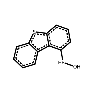 OBc1cccc2sc3ccccc3c12